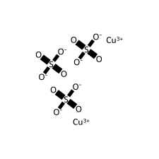 O=S(=O)([O-])[O-].O=S(=O)([O-])[O-].O=S(=O)([O-])[O-].[Cu+3].[Cu+3]